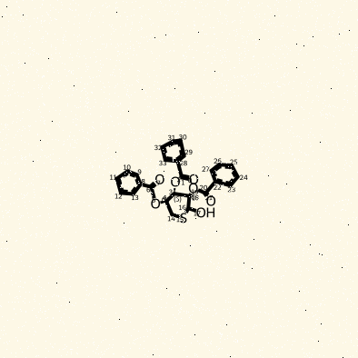 O=C(O[C@H]1[C@H](OC(=O)c2ccccc2)CSC(O)[C@@H]1OC(=O)c1ccccc1)c1ccccc1